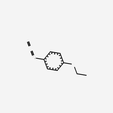 CCSc1ccc(N=C=S)cc1